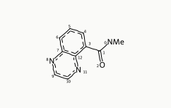 [CH2+][N-]C(=O)c1cccc2nccnc12